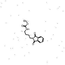 C[C@@H](CCCN1C(=O)c2ccccc2C1=O)NC(=O)OC(C)(C)C